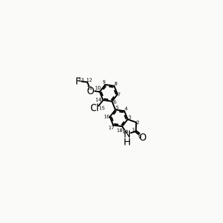 O=C1Cc2cc(-c3cccc(OCF)c3Cl)ccc2N1